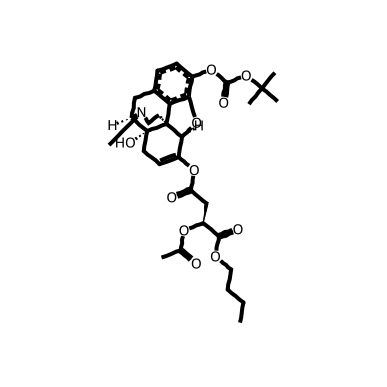 CCCCOC(=O)[C@H](CC(=O)OC1=CC[C@@]2(O)[C@H]3Cc4ccc(OC(=O)OC(C)(C)C)c5c4[C@@]2(CCN3C)[C@H]1O5)OC(C)=O